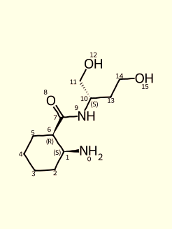 N[C@H]1CCCC[C@H]1C(=O)N[C@H](CO)CCO